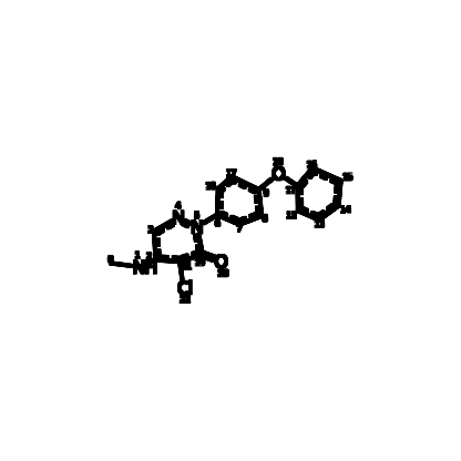 CNc1cnn(-c2ccc(Oc3ccccc3)cc2)c(=O)c1Cl